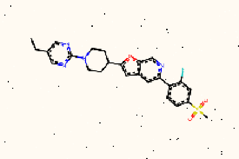 CCc1cnc(N2CCC(c3cc4cc(-c5ccc(S(C)(=O)=O)cc5F)ncc4o3)CC2)nc1